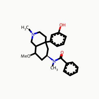 COC1C[C@H](N(C)C(=O)c2ccccc2)CC2(c3cccc(O)c3)CCN(C)CC12